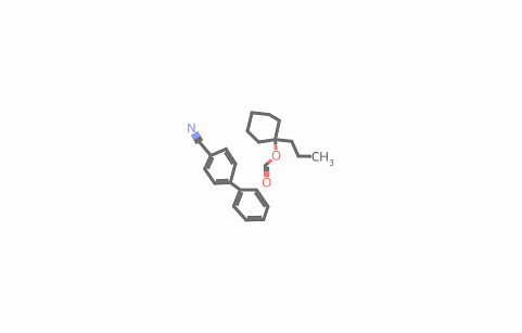 CCCC1(OC=O)CCCCC1.N#Cc1ccc(-c2ccccc2)cc1